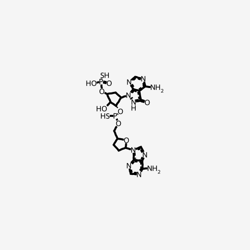 Nc1ncnc2c1ncn2C1CCC(COP(S)O[C@@H]2C(O)C(OP(=O)(O)S)CC2n2[nH]c(=O)c3c(N)ncnc32)O1